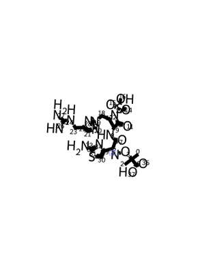 CC(C)(O/N=C(\C(=O)NC1C(=O)N(S(=O)(=O)O)C1Cn1ncc(CNC(=N)N)n1)c1csc(N)n1)C(=O)O